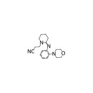 N#CCCN1CCCCC1=Nc1ccccc1N1CCOCC1